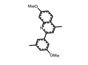 COc1cc(C)cc(-c2cc(C)c3ccc(OC)cc3n2)c1